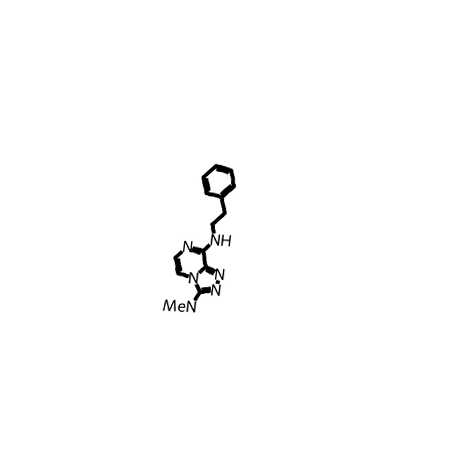 CNc1nnc2c(NCCc3ccccc3)nccn12